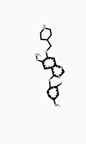 COc1cc2c(Oc3ccc(N)cc3F)ncnc2cc1OCC1CCNCC1